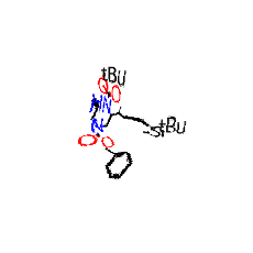 C=CCN(CC(NC(=O)OC(C)(C)C)[C@@H](C)/C=C/[Si](C)(C)C(C)(C)C)C(=O)OCc1ccccc1